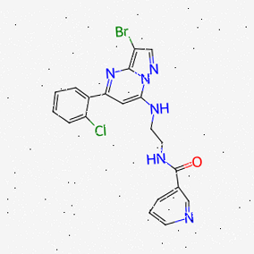 O=C(NCCNc1cc(-c2ccccc2Cl)nc2c(Br)cnn12)c1cccnc1